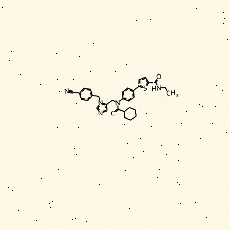 CCNC(=O)c1ccc(-c2ccc(N(Cc3cncn3Cc3ccc(C#N)cc3)C(=O)C3CCCCC3)cc2)s1